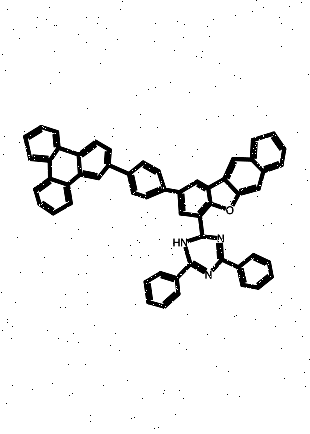 c1ccc(C2=NC(c3cc(-c4ccc(-c5ccc6c7ccccc7c7ccccc7c6c5)cc4)cc4c3oc3cc5ccccc5cc34)NC(c3ccccc3)=N2)cc1